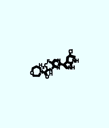 C[C@@H](Nc1nc(C2=CNC3NC=C(Cl)C=C23)ncc1F)C(=O)N1CCCOCC1